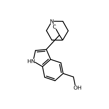 OCc1ccc2[nH]cc(C3CN4CCC3CC4)c2c1